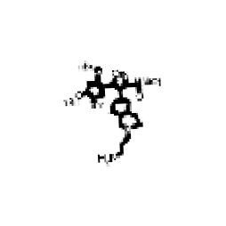 CCCCOc1cc(OCCCC)c(C(C)C)cc1-c1onc(C(=O)NCC)c1-c1ccc2c(c1)CCN(CCCN)C2